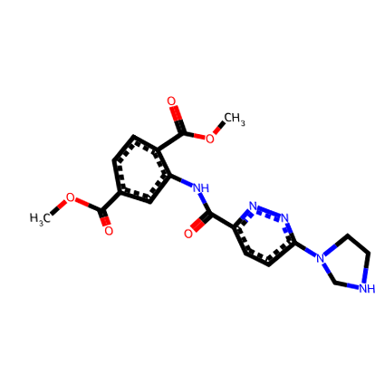 COC(=O)c1ccc(C(=O)OC)c(NC(=O)c2ccc(N3CCNC3)nn2)c1